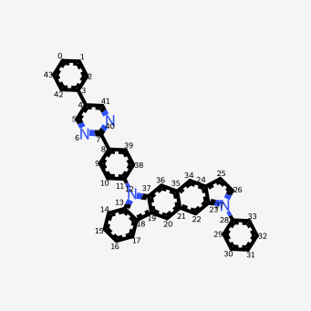 c1ccc(-c2cnc(-c3ccc(-n4c5ccccc5c5cc6cc7c(ccn7-c7ccccc7)cc6cc54)cc3)nc2)cc1